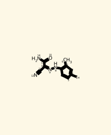 Cc1cc(I)ccc1NN=C(C#N)C(N)=O